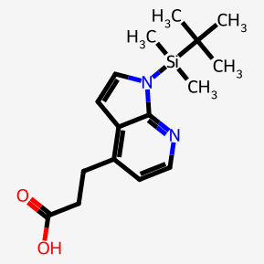 CC(C)(C)[Si](C)(C)n1ccc2c(CCC(=O)O)ccnc21